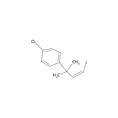 CC(C)(/C=C\I)c1ccc(Cl)cc1